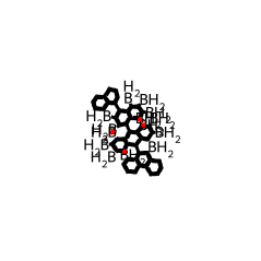 Bc1c(B)c(B)c2c(-c3c4c(B)c(B)c(B)c(B)c4c(-c4cc5ccccc5c5ccccc45)c4c(B)c(B)c(B)c(B)c34)c(B)c(B)c(-c3cccc4ccccc34)c2c1B